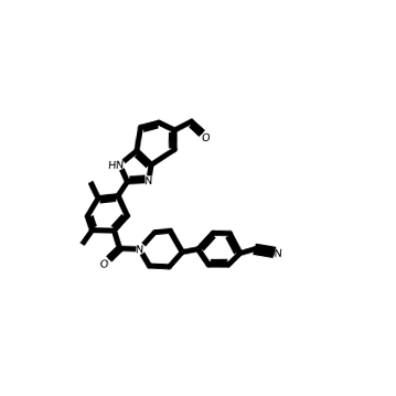 Cc1cc(C)c(-c2nc3cc(C=O)ccc3[nH]2)cc1C(=O)N1CCC(c2ccc(C#N)cc2)CC1